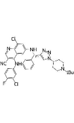 CC(C)(C)N1CCC(n2cc([C@@H](Nc3cc(Cl)c4ncc(C#N)c(Nc5ccc(F)c(Cl)c5)c4c3)c3ccccc3)nn2)CC1